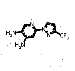 Nc1cnc(-n2ccc(C(F)(F)F)n2)cc1N